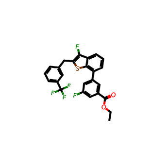 CCOC(=O)c1cc(F)cc(-c2cccc3c(F)c(Cc4cccc(C(F)(F)F)c4)sc23)c1